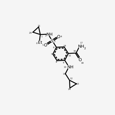 CCC1(NS(=O)(=O)c2ccc(NCC3CC3)c(C(N)=O)c2)CC1